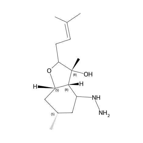 CC(C)=CCC1O[C@H]2C[C@@H](C)CC(NN)[C@H]2[C@@]1(C)O